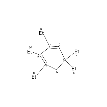 CCC1=CC(CC)(CC)CC(CC)=C1CC